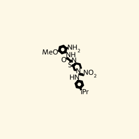 COc1ccc(N)c(NC(=O)c2nc3c(s2)CN(/C(=C\[N+](=O)[O-])Nc2ccc(C(C)C)cc2)CC3)c1